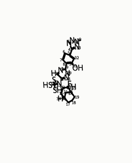 Cn1nnc(-c2ccc(-c3ncc(N([C@H]4C[C@@H]5CCC[C@@H](C5)[C@H]4F)C(S)(S)S)nn3)c(O)c2)n1